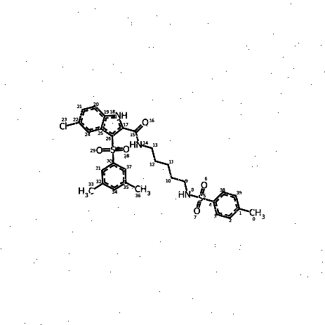 Cc1ccc(S(=O)(=O)NCCCCCNC(=O)c2[nH]c3ccc(Cl)cc3c2S(=O)(=O)c2cc(C)cc(C)c2)cc1